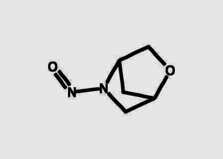 O=NN1CC2CC1CO2